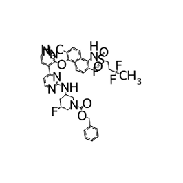 Cc1ccc2c(NS(=O)(=O)CCC(C)(F)F)c(F)ccc2c1Oc1nnccc1-c1ccnc(N[C@H]2C[C@H](F)CN(C(=O)OCc3ccccc3)C2)n1